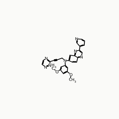 COc1cc(OC)cc(N(CC#Cc2nccnn2)c2ccc3ncc(-c4cccnc4)nc3c2)c1